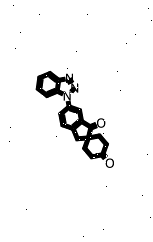 O=C1CCC2(CC1)Cc1ccc(-n3nnc4ccccc43)cc1C2=O